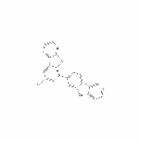 Brc1cc(-c2ccc3c(c2)oc2ccccc23)c2sc3ccccc3c2c1